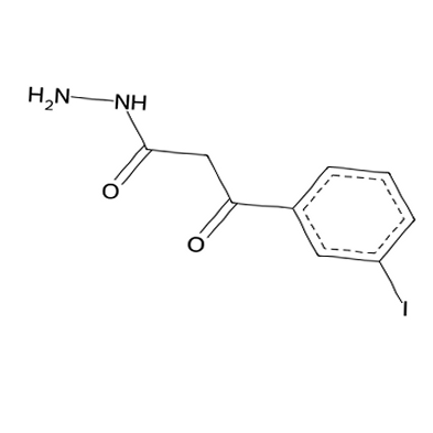 NNC(=O)CC(=O)c1cccc(I)c1